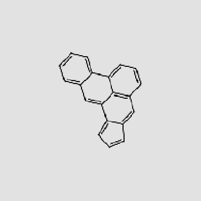 C1=Cc2cc3cccc4c5ccccc5cc(c2=C1)c34